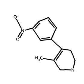 CC1=C(c2cccc([N+](=O)[O-])c2)CC[N]C1